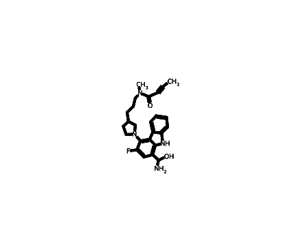 CC#CC(=O)N(C)CCCC1CCN(c2c(F)cc(C(N)O)c3[nH]c4ccccc4c23)C1